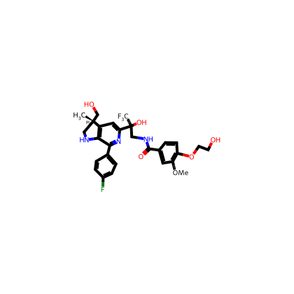 COc1cc(C(=O)NCC(O)(c2cc3c(c(-c4ccc(F)cc4)n2)NC[C@]3(C)CO)C(F)(F)F)ccc1OCCO